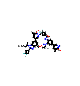 COC[C@@H](C)n1c(C2CC(F)(F)C2)nc2c(COC[C@@H](C)Nc3cc(-c4cc(C)c(=O)n(C)c4)ccc3NC(=O)C3CC(F)(F)C3)cc(C3=CN(C)C(O)C(C)=C3)cc21